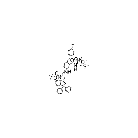 CON(C)C(=O)[C@H](CCSC)NC(=O)c1cc(NC[C@@H]2C[C@H](SC(c3ccccc3)(c3ccccc3)c3ccccc3)CN2C(=O)OC(C)(C)C)ccc1CCc1ccc(F)cc1